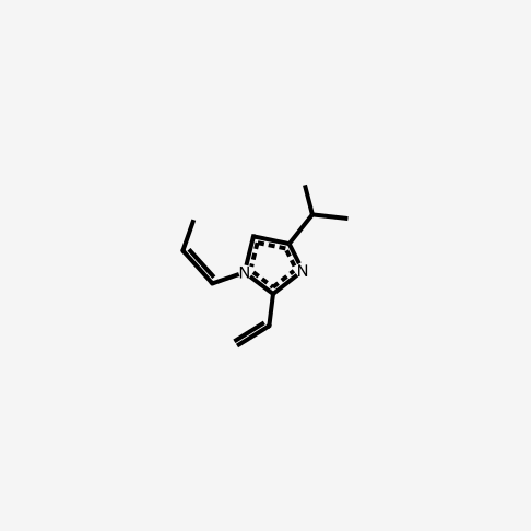 C=Cc1nc(C(C)C)cn1/C=C\C